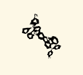 CC(C)c1ccc(N(c2ccccc2)c2ccc3c4cc5c(cc4n4c6ccccc6c2c34)c2ccc(N(c3ccc(C(C)C)cc3)C3C=CC=CC3)c3c4ccccc4n5c23)cc1